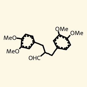 COc1ccc(CC(C=O)Cc2ccc(OC)c(OC)c2)cc1OC